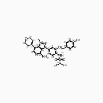 C[C@H](Oc1cc(-c2nn(C)c3c(C4=CCOCC4)cnc(N)c23)ccc1NS(=O)(=O)C(F)F)c1ccc(F)cc1